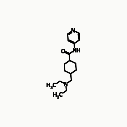 CCN(CC)CC1CCC(C(=O)Nc2ccncc2)CC1